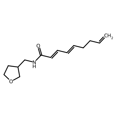 C=CCC/C=C/C=C/C(=O)NCC1CCOC1